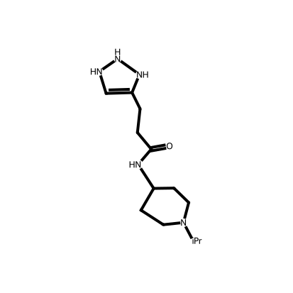 CC(C)N1CCC(NC(=O)CCC2=CNNN2)CC1